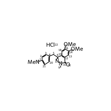 CNc1ccc(Cc2nn(C)c(=O)c3cc(OC)c(OC)cc23)cc1.Cl